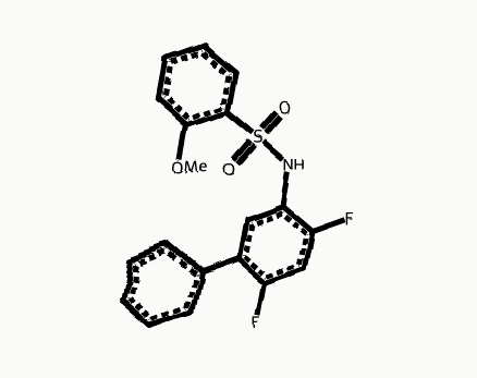 COc1ccccc1S(=O)(=O)Nc1cc(-c2ccccc2)c(F)cc1F